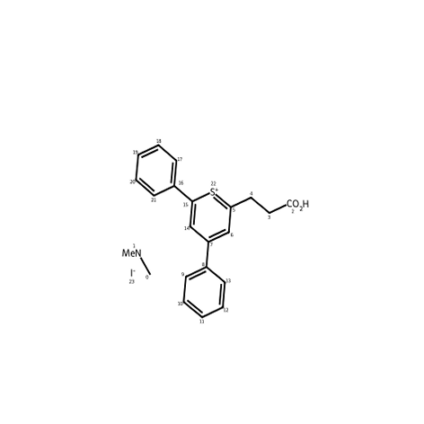 CNC.O=C(O)CCc1cc(-c2ccccc2)cc(-c2ccccc2)[s+]1.[I-]